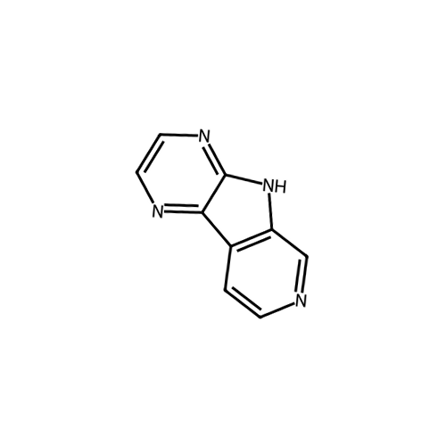 c1cc2c(cn1)[nH]c1nccnc12